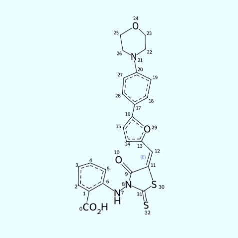 O=C(O)c1ccccc1NN1C(=O)/C(=C\c2ccc(-c3ccc(N4CCOCC4)cc3)o2)SC1=S